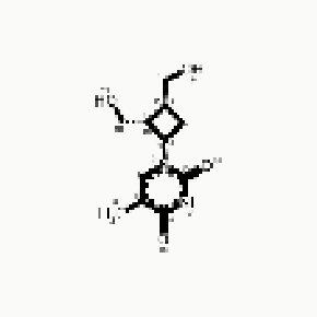 Cc1cn([C@@H]2C[C@H](CO)[C@H]2CO)c(=O)[nH]c1=O